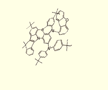 CC(C)(C)c1ccc(N(c2ccc(C(C)(C)C)cc2)c2cc3c4c(c2)-n2c5c(c6cc(C(C)(C)C)cc(c62)B4c2ccc(C(C)(C)C)cc2N3c2cccc3oc4ccccc4c23)C(C)(C)c2ccccc2-5)cc1